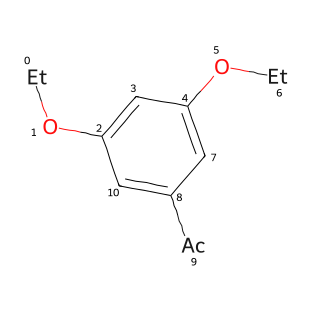 CCOc1cc(OCC)cc(C(C)=O)c1